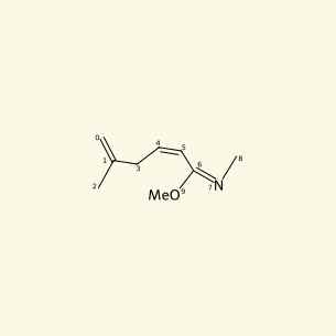 C=C(C)C/C=C\C(=N/C)OC